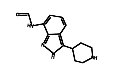 O=CNc1cccc2c(C3CCNCC3)[nH]nc12